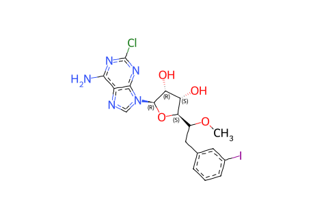 COC(Cc1cccc(I)c1)[C@H]1O[C@@H](n2cnc3c(N)nc(Cl)nc32)[C@H](O)[C@@H]1O